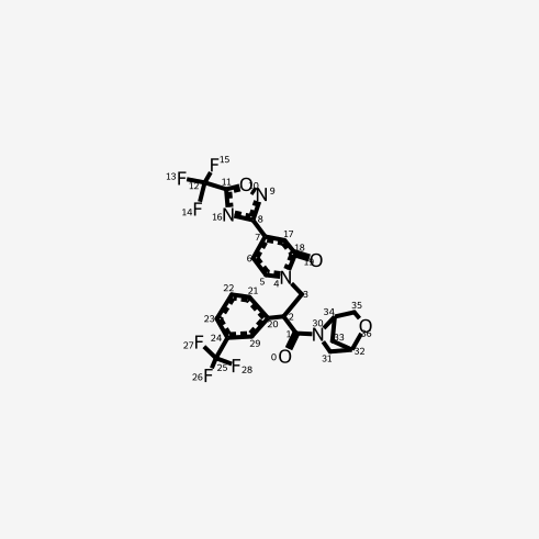 O=C(C(Cn1ccc(-c2noc(C(F)(F)F)n2)cc1=O)c1cccc(C(F)(F)F)c1)N1CC2CC1CO2